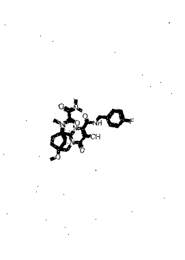 COC12CCC(N(C)C(=O)C(=O)N(C)C)(CC1)c1nc(C(=O)NCc3ccc(F)cc3)c(O)c(=O)n1C2